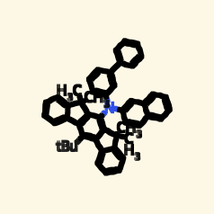 CC(C)(C)c1c2c(c(N(c3cccc(-c4ccccc4)c3)c3ccc4ccccc4c3)c3c1-c1ccccc1C3(C)C)C(C)(C)c1ccccc1-2